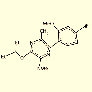 CCC(CC)Oc1nc(C)c(-c2ccc(C(C)C)cc2OC)nc1NC